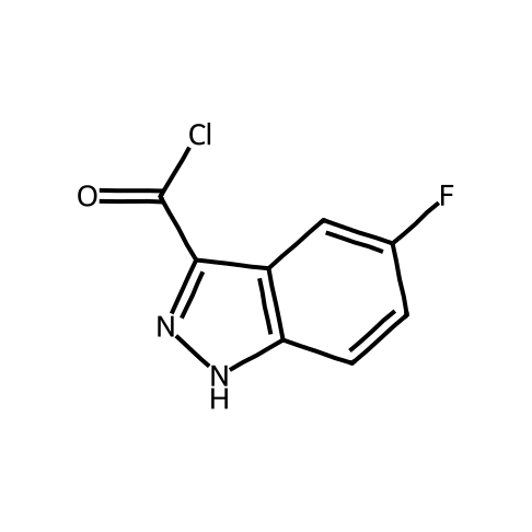 O=C(Cl)c1n[nH]c2ccc(F)cc12